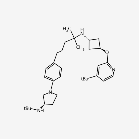 CC(C)(C)N[C@@H]1CCN(c2ccc(CCCC(C)(C)N[C@H]3C[C@H](Oc4cc(C(C)(C)C)ccn4)C3)cc2)C1